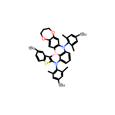 Cc1cc(C(C)(C)C)cc(C)c1N1c2cc3c(cc2B2c4c1cccc4N(c1c(C)cc(C(C)(C)C)cc1C)c1sc4ccc(C(C)(C)C)cc4c12)OCCCO3